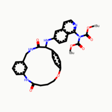 CC(C)(C)OC(=O)N(C(=O)OC(C)(C)C)c1nccc2cc(NC3C(=O)NCc4cccc(c4)NC(=O)CCCOc4ccc3cc4)ccc12